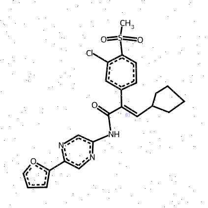 CS(=O)(=O)c1ccc(/C(=C\C2CCCC2)C(=O)Nc2cnc(-c3ccco3)cn2)cc1Cl